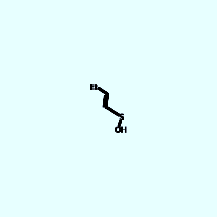 CC/C=C/SO